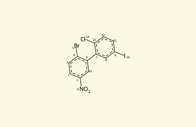 O=[N+]([O-])c1c[c]c(Br)c(-c2cc(I)ccc2Cl)c1